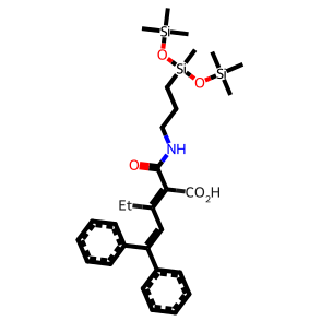 CCC(C=C(c1ccccc1)c1ccccc1)=C(C(=O)O)C(=O)NCCC[Si](C)(O[Si](C)(C)C)O[Si](C)(C)C